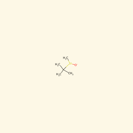 C[S+]([O-])C(C)(C)C